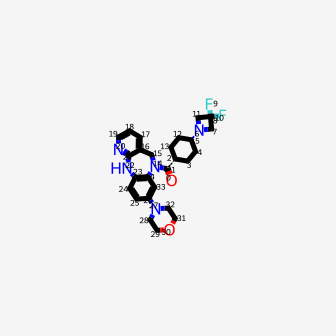 O=C([C@H]1CC[C@@H](N2CC(F)(F)C2)CC1)N1Cc2cccnc2Nc2ccc(N3CCOCC3)cc21